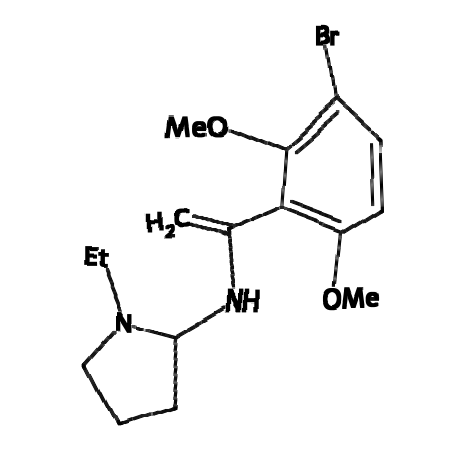 C=C(NC1CCCN1CC)c1c(OC)ccc(Br)c1OC